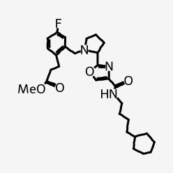 COC(=O)CCc1ccc(F)cc1CN1CCCC1c1nc(C(=O)NCCCCC2CCCCC2)co1